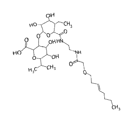 CCCC/C=C/CCOCC(=O)NCCNC(=O)C1OC(OC2C(C(=O)O)OC(C(C)C)C(O)C2O)C(O)C(O)C1CC